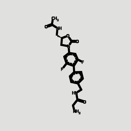 CC(=O)NC[C@H]1CN(c2cc(F)c(-c3ccc(CNC(=O)CN)cc3)c(F)c2)C(=O)O1